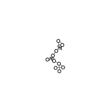 c1ccc(-n2c3ccc(-c4ccc(-c5cc6c7c(cccc7n5)-c5ccccc5-6)cc4)cc3c3cc(-c4ccc5c(c4)C(c4ccccc4)(c4ccccc4)c4ccccc4-5)ccc32)cc1